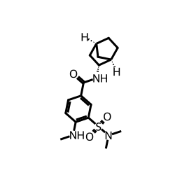 CNc1ccc(C(=O)N[C@@H]2C[C@H]3CC[C@@H]2C3)cc1S(=O)(=O)N(C)C